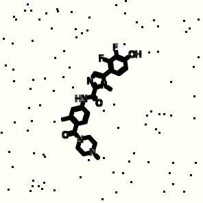 Cc1cc(NC(=O)c2ncc(-c3ccc(O)c(F)c3F)n2C)ccc1C(=O)N1CCN(C)CC1